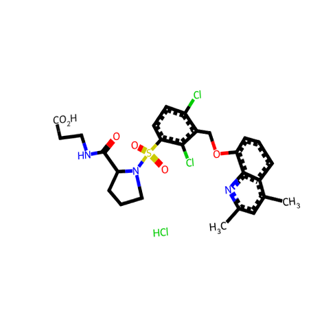 Cc1cc(C)c2cccc(OCc3c(Cl)ccc(S(=O)(=O)N4CCCC4C(=O)NCCC(=O)O)c3Cl)c2n1.Cl